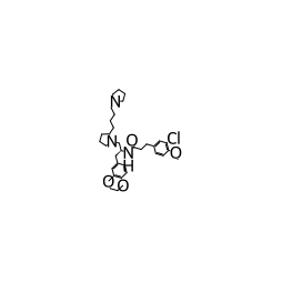 COc1ccc(CCC(=O)N[C@@H](Cc2ccc3c(c2)OCCO3)CN2CCCC2CCCCN2CCCC2)cc1Cl